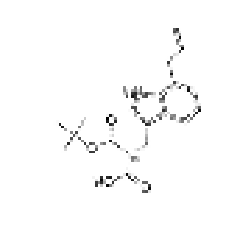 C=CCc1cccc2c(C[C@H](C(=O)O)C(=O)OC(C)(C)C)c[nH]c12